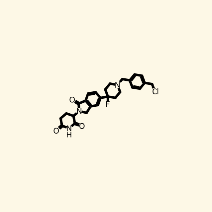 O=C1CCC(N2Cc3cc(C4(F)CCN(Cc5ccc(CCl)cc5)CC4)ccc3C2=O)C(=O)N1